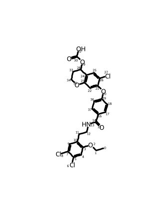 CCOc1cc(Cl)c(Cl)cc1CCNC(=O)c1ccc(Oc2cc3c(cc2Cl)C(OC(=O)O)CCO3)cc1